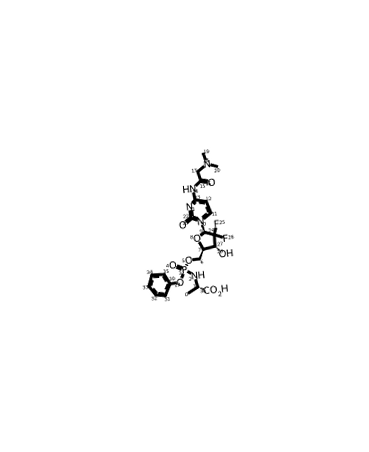 C[C@H](NP(=O)(OC[C@H]1O[C@@H](n2ccc(NC(=O)CN(C)C)nc2=O)C(F)(F)[C@@H]1O)Oc1ccccc1)C(=O)O